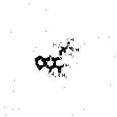 Cc1c(C(C)C)c(SCC(C)(C)N(C)C)nc2ccccc12